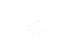 COc1cnc2c(-c3ccc(F)c(C)n3)c(-c3ccnc(NC(C)=O)c3)[nH]c2c1